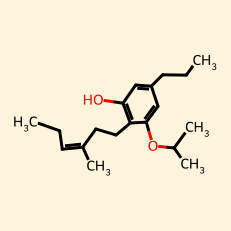 CC/C=C(/C)CCc1c(O)cc(CCC)cc1OC(C)C